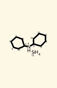 C1CCC(NC2CCCCC2)CC1.[SiH4]